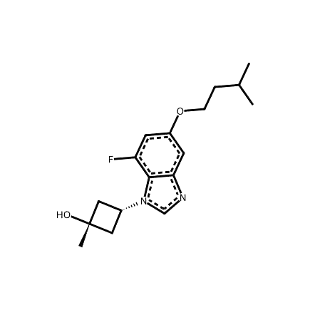 CC(C)CCOc1cc(F)c2c(c1)ncn2[C@H]1C[C@@](C)(O)C1